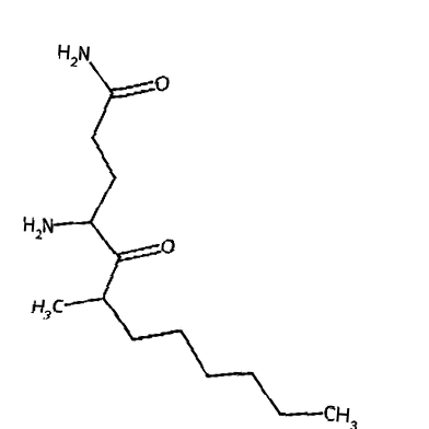 CCCCCCC(C)C(=O)C(N)CCC(N)=O